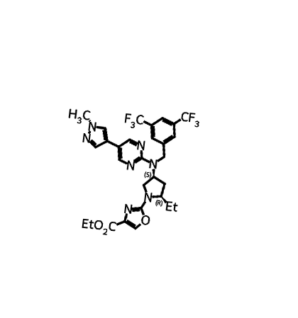 CCOC(=O)c1coc(N2C[C@@H](N(Cc3cc(C(F)(F)F)cc(C(F)(F)F)c3)c3ncc(-c4cnn(C)c4)cn3)C[C@H]2CC)n1